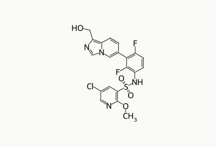 COc1ncc(Cl)cc1S(=O)(=O)Nc1ccc(F)c(-c2ccc3c(CO)ncn3c2)c1F